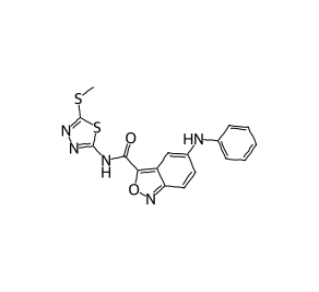 CSc1nnc(NC(=O)c2onc3ccc(Nc4ccccc4)cc23)s1